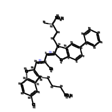 CCC(/C=C1\Oc2ccc(-c3ccccc3)cc2N1CCC(C)S(=O)(=O)O)=C\c1oc2ccc(Cl)cc2[n+]1CCCS(=O)(=O)O